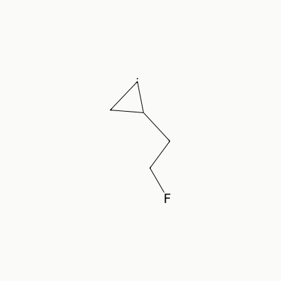 FCCC1[CH]C1